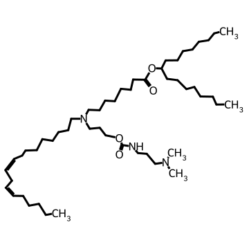 CCCCC/C=C\C/C=C\CCCCCCCCN(CCCCCCCC(=O)OC(CCCCCCCC)CCCCCCCC)CCCOC(=O)NCCCN(C)C